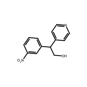 O=[N+]([O-])c1cccc(C(CO)c2ccncc2)c1